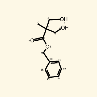 CC(CO)(CO)C(=O)OCc1ccccc1